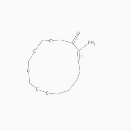 C/C1=C\CCCCCCCCCCCCCC1=O